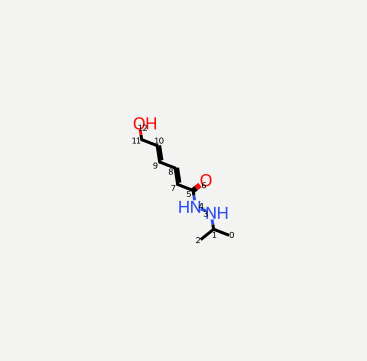 CC(C)NNC(=O)/C=C/C=C/CO